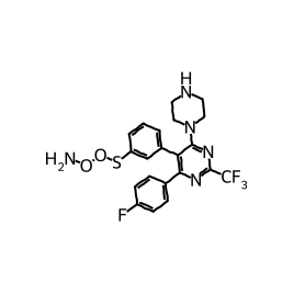 NOOSc1cccc(-c2c(-c3ccc(F)cc3)nc(C(F)(F)F)nc2N2CCNCC2)c1